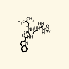 CC(C)C[CH]NC(=O)[C@H](CCCNC(=N)N[N+](=O)[O-])NC(=O)c1ccc2ccccc2n1